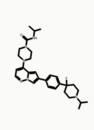 CC(C)NC(=O)N1CCN(c2ccnn3cc(-c4ccc(C5(F)CCN(C(C)C)CC5)cc4)cc23)CC1